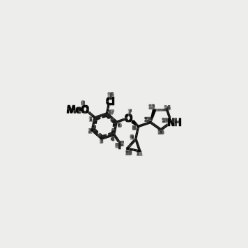 COc1ccc(F)c(O[C@H](C2CC2)[C@H]2CCNC2)c1Cl